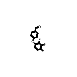 Cc1[c]cc(Oc2ccc(C=O)cc2)c(F)c1F